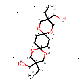 CCC1(CO)COC2(CCC3(CC2)OCC(CC)(CO)CO3)OC1